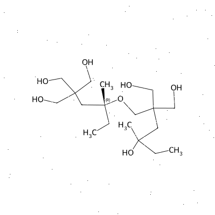 CCC(C)(O)CC(CO)(CO)CO[C@](C)(CC)CC(CO)(CO)CO